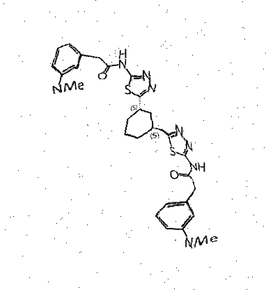 CNc1cccc(CC(=O)Nc2nnc([C@H]3CCC[C@H](c4nnc(NC(=O)Cc5cccc(NC)c5)s4)C3)s2)c1